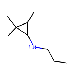 CCCNC1C(C)C1(C)C